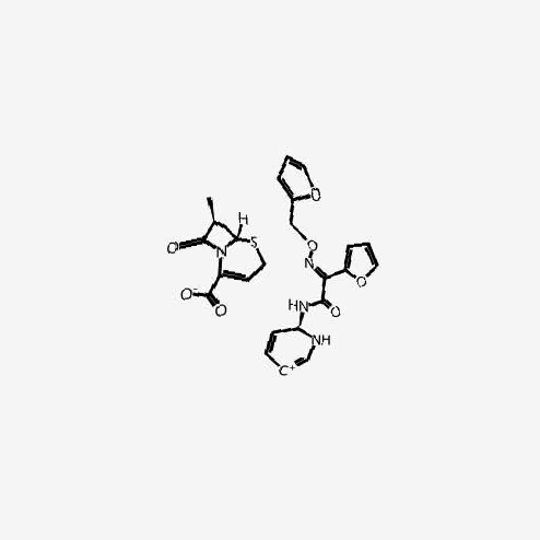 C[C@@H]1C(=O)N2C(C(=O)[O-])=CCS[C@@H]12.O=C(N[C@@H]1C=C[C+]=CN1)C(=NOCc1ccco1)c1ccco1